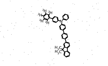 [2H]c1c([2H])c([2H])c(-c2ccc(N(c3ccccc3)c3ccc(-c4ccc(-c5ccc6c(c5)C(C)(C)c5ccccc5-6)cc4)cc3)cc2)c([2H])c1[2H]